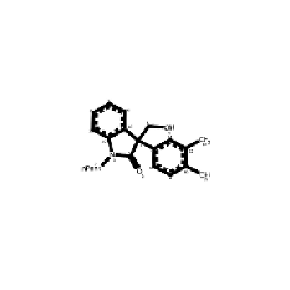 CCCCCN1C(=O)C(CO)(c2ccc(O)c(C(F)(F)F)c2)c2ccccc21